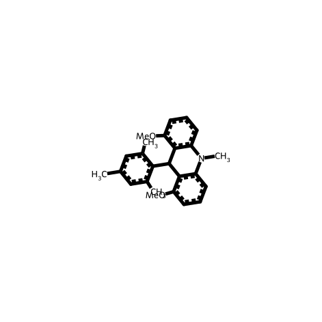 COc1cccc2c1C(c1c(C)cc(C)cc1C)c1c(OC)cccc1N2C